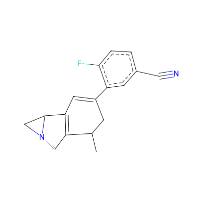 CC1CC(c2cc(C#N)ccc2F)=CC2=C1C[N@]1CC21